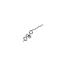 CCCCCCCCc1ccc(C(=O)Oc2ccc(C)cc2)cc1